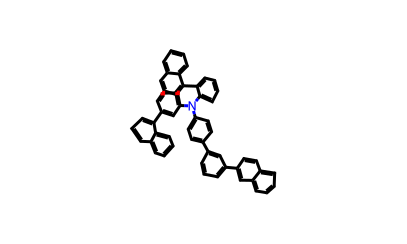 c1cc(-c2ccc(N(c3cccc(-c4cccc5ccccc45)c3)c3ccccc3-c3cccc4ccccc34)cc2)cc(-c2ccc3ccccc3c2)c1